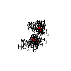 CCCC[C@@H](C(=O)N(C)[C@@H](CCCC)C(=O)N[C@@H](CC(C)C)C(=O)NCCCCC(=O)N[C@@H](Cc1ccc(OC)cc1)C(=O)N1CCCC[C@H]1C(=O)N[C@@H](CC(N)=O)C(=O)N1CCC[C@H]1C(=O)N[C@@H](CN)C(=O)N[C@@H](CCC(=O)O)C(=O)N1C[C@H](O)C[C@H]1C=O)N(C)C(=O)[C@H](Cc1cn(CC(=O)O)c2ccccc12)NC(=O)[C@H](CCN)NC(=O)[C@H](Cc1c[nH]c2ccccc12)NC